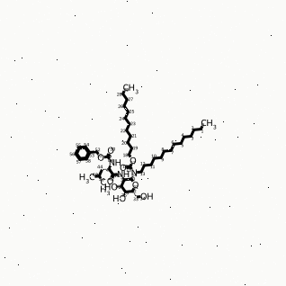 CCCCCCCCCCCCCCN(C(=O)OCCCCCCCCCCCC)[C@@H]1O[C@H](CO)[C@@H](O)[C@H](O)[C@H]1NC(=O)[C@H](CC(C)C)NC(=O)OCc1ccccc1